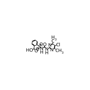 Cc1nc(NC(=O)NS(=O)(=O)c2ccccc2C(=O)O)nc(C)c1Cl